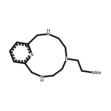 CNCCN1CCNCc2cccc(n2)CNCC1